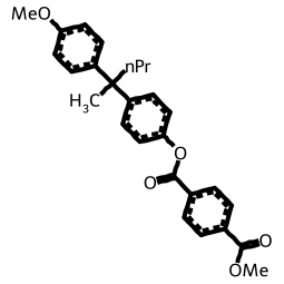 CCCC(C)(c1ccc(OC)cc1)c1ccc(OC(=O)c2ccc(C(=O)OC)cc2)cc1